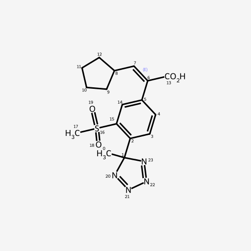 CC1(c2ccc(/C(=C\C3CCCC3)C(=O)O)cc2S(C)(=O)=O)N=NN=N1